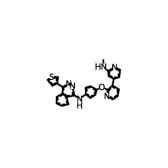 CNc1cc(-c2cccnc2Oc2ccc(Nc3nnc(-c4ccsc4)c4ccccc34)cc2)ccn1